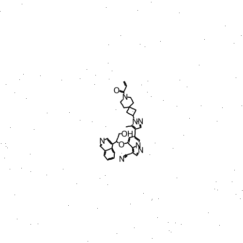 C=CC(=O)N1CCC2(CC1)CC(n1ncc(-c3cc(OC(CO)c4cncc5ccccc45)c4c(C#N)cnn4c3)c1C)C2